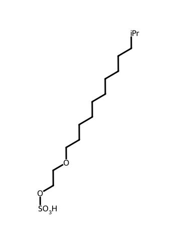 CC(C)CCCCCCCCCCOCCOS(=O)(=O)O